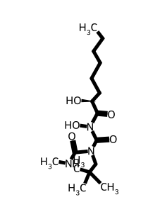 CCCCCC[C@H](O)C(=O)N(O)C(=O)N(CC(C)(C)C)C(=O)NC